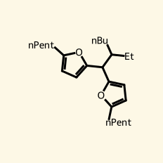 CCCCCc1ccc(C(c2ccc(CCCCC)o2)C(CC)CCCC)o1